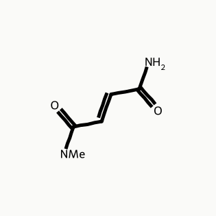 CNC(=O)C=CC(N)=O